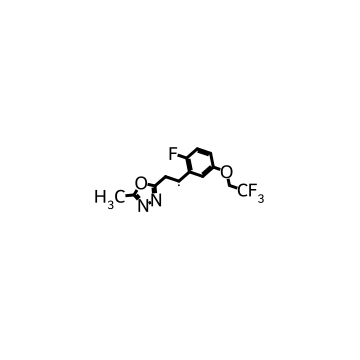 Cc1nnc(C[CH]c2cc(OCC(F)(F)F)ccc2F)o1